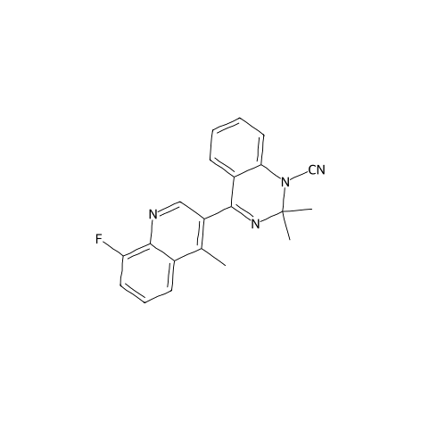 Cc1c(C2=NC(C)(C)N(C#N)c3ccccc32)cnc2c(F)cccc12